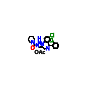 CC(=O)OC1N=C(c2ccccc2Cl)c2cc(Cl)ccc2N2NN(C(=O)N3CCCCC3)C=C12